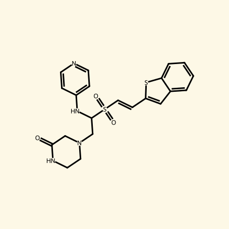 O=C1CN(CC(Nc2ccncc2)S(=O)(=O)C=Cc2cc3ccccc3s2)CCN1